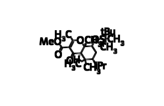 COC(=O)C1=C(C)O[C@]2(C)C(O[Si](C)(C)C(C)(C)C)C[C@@H](C(C)C)C(C)(C)[C@H]2C1=O